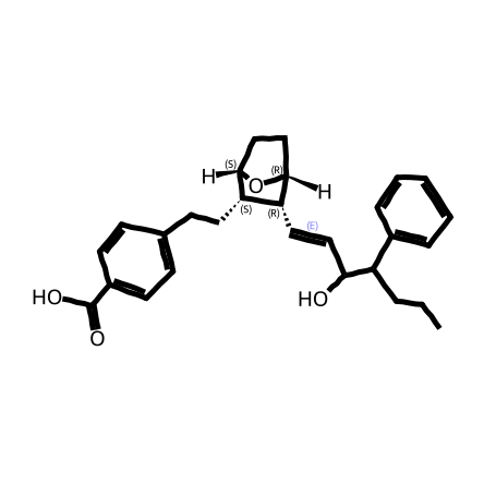 CCCC(c1ccccc1)C(O)/C=C/[C@@H]1[C@H](CCc2ccc(C(=O)O)cc2)[C@@H]2CC[C@H]1O2